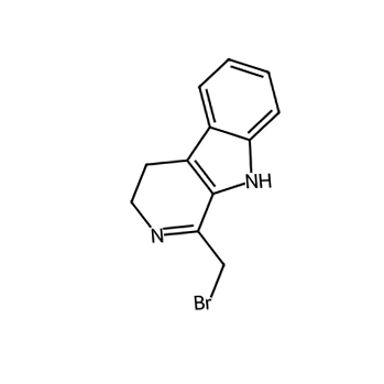 BrCC1=NCCc2c1[nH]c1ccccc21